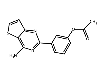 CC(=O)Oc1cccc(-c2nc(N)c3sccc3n2)c1